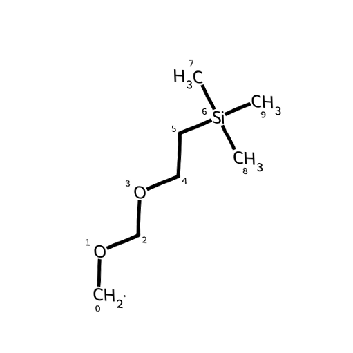 [CH2]OCOCC[Si](C)(C)C